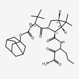 CCCC(NC(=O)[C@@H]1[C@@H]2[C@H](CN1C(=O)[C@@H](NC(=O)OC13CC4CC(CC(C4)C1)C3)C(C)(C)C)C2(C)C)C(=O)C(N)=O